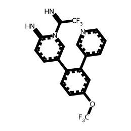 N=C(n1cc(-c2ccc(OC(F)(F)F)cc2-c2cccnc2)ccc1=N)C(F)(F)F